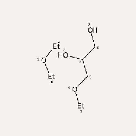 CCOCC.CCOCC(O)CO